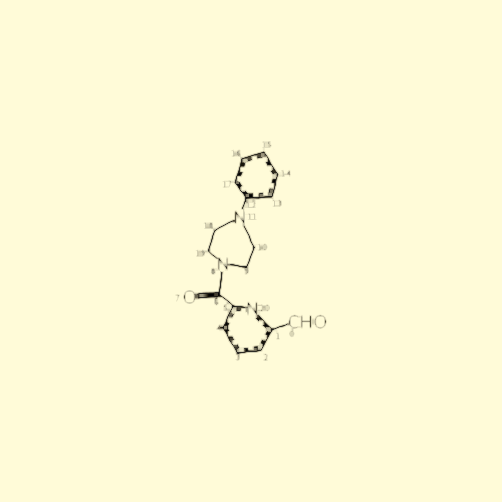 O=Cc1cccc(C(=O)N2CCN(c3ccccc3)CC2)n1